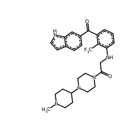 CN1CCC(N2CCN(C(=O)CNc3cccc(C(=O)c4ccc5cc[nH]c5c4)c3C(F)(F)F)CC2)CC1